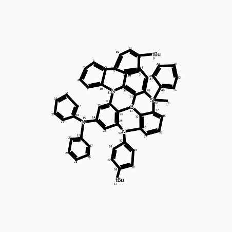 CC(C)(C)c1ccc(-c2ccccc2N2c3cc(N(c4ccccc4)c4ccccc4)cc4c3B3c5c(cccc5[Si](C)(c5ccccc5)c5cccc2c53)N4c2ccc(C(C)(C)C)cc2)cc1